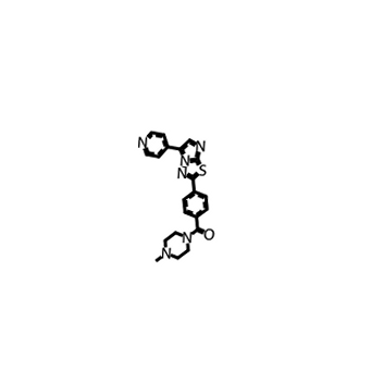 CN1CCN(C(=O)c2ccc(-c3nn4c(-c5ccncc5)cnc4s3)cc2)CC1